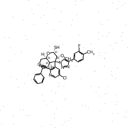 CO[C@H]1[C@@H](S)O[C@@H]2COC(c3ccccc3)O[C@@H]2C1(c1cc(Cl)cnc1C#N)n1cc(-c2ccc(C)c(F)c2)nn1